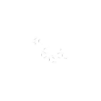 O=C(OCc1ccccc1)c1cccc(-c2cccc(-c3cc(O)cc(O)c3)c2)c1